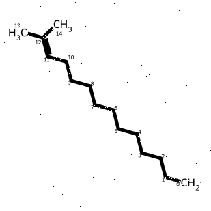 [CH2]CCCCCCCCCCC=C(C)C